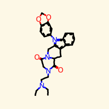 CCN(CC)CCN1CC(=O)N2Cc3c(c4ccccc4n3-c3ccc4c(c3)OCO4)CC2C1=O